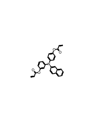 C=CC(=O)Oc1ccc(N(c2cccc(OC(=O)C=C)c2)c2ccc3ccccc3c2)cc1